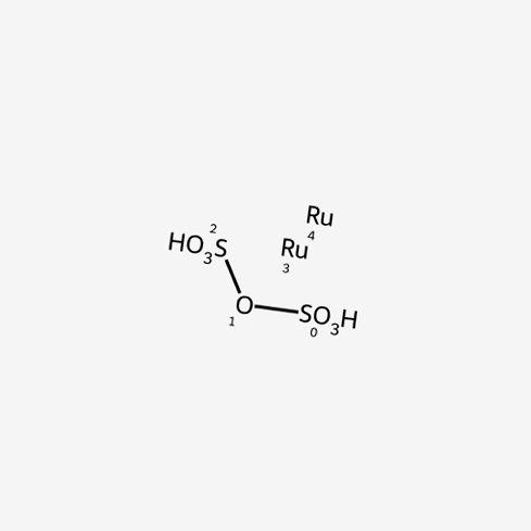 O=S(=O)(O)OS(=O)(=O)O.[Ru].[Ru]